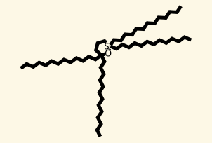 CCCCCCCCCCCCCC1(CCCCCCCCCCCCC)CCC[Si](CCCCCCCCCCCCC)(CCCCCCCCCCCCC)O1